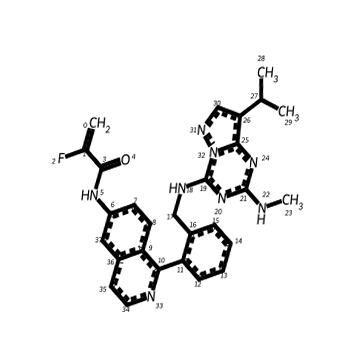 C=C(F)C(=O)Nc1ccc2c(-c3ccccc3CNc3nc(NC)nc4c(C(C)C)cnn34)nccc2c1